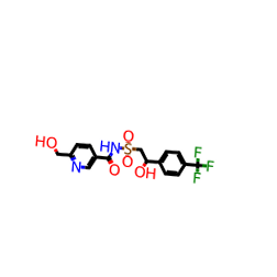 O=C(NS(=O)(=O)CC(O)c1ccc(C(F)(F)F)cc1)c1ccc(CO)nc1